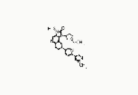 CCN1CCC(n2c(=O)n(C)c3cnc4ccc(-c5ccc(-c6cnn(C)c6)nc5)cc4c32)C1